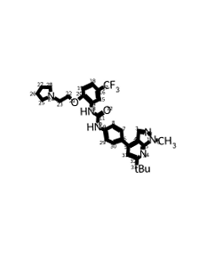 Cn1ncc2c(-c3ccc(NC(=O)Nc4cc(C(F)(F)F)ccc4OCCN4CCCC4)cc3)cc(C(C)(C)C)nc21